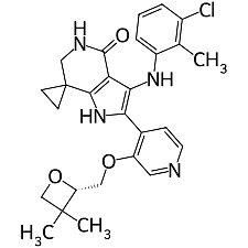 Cc1c(Cl)cccc1Nc1c(-c2ccncc2OC[C@H]2OCC2(C)C)[nH]c2c1C(=O)NCC21CC1